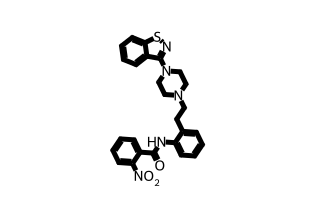 O=C(Nc1ccccc1CCN1CCN(c2nsc3ccccc23)CC1)c1ccccc1[N+](=O)[O-]